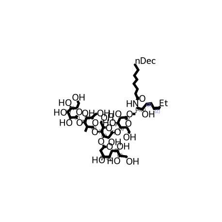 CC/C=C\C=C/[C@@H](O)[C@H](CO[C@@H]1OC(CO)[C@@H](O[C@@H]2OC(CO)[C@H](O[C@@H]3OC(CO)[C@H](O)[C@H](O[C@@H]4OC(CO)[C@H](O)[C@H](O)C4O)C3C)[C@H](OC3C[C@@H](O)[C@@H](C)C([C@H](O)[C@H](O)CO)O3)C2O)[C@H](O)C1O)NC(=O)CCCCCCCCCCCCCCCCC